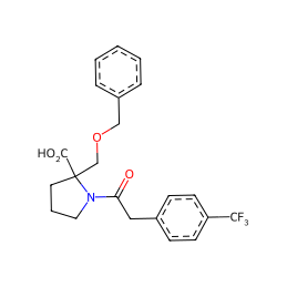 O=C(Cc1ccc(C(F)(F)F)cc1)N1CCCC1(COCc1ccccc1)C(=O)O